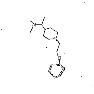 CC(C1CCN(CCOc2ccccc2)CC1)N(C)C